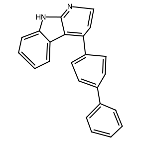 c1ccc(-c2ccc(-c3ccnc4[nH]c5ccccc5c34)cc2)cc1